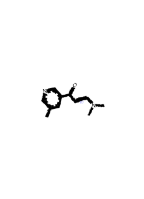 Cc1cncc(C(=O)/C=C/N(C)C)c1